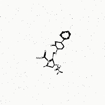 COC(=O)N1[C@H](C)C[C@H](NS(=O)(=O)N(C)C)[C@@H]1CO[C@@H]1CC[C@H](c2ccccc2)CC1F